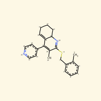 Cc1ccccc1CSC1=NC2CCCC=C2C(c2ccncc2)=C1C#N